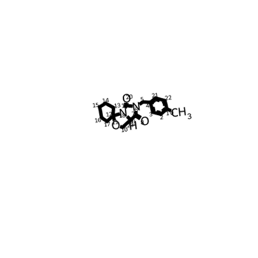 Cc1ccc(CN2C(=O)[C@H]3COC4(CCCCC4)N3C2=O)cc1